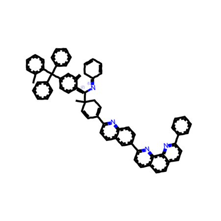 C=c1cc(C(c2ccccc2)(c2ccccc2)c2ccccc2C)cc/c1=C(/N=C1/C=CC=CC1)C1(C)C=CC(c2ccc3cc(-c4ccc5ccc6ccc(-c7ccccc7)nc6c5n4)ccc3n2)=CC1